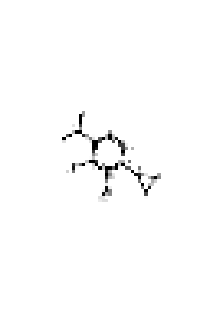 CC(C)c1cnc(C2CC2)c(Br)c1F